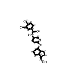 O=C(Nc1ccc(Oc2cccc3c2CCC3=NO)nc1)c1ccc(Cl)c(Cl)c1